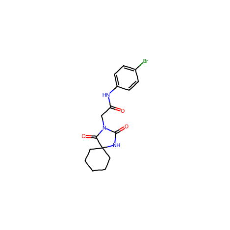 O=C(CN1C(=O)NC2(CCCCC2)C1=O)Nc1ccc(Br)cc1